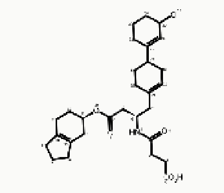 O=C(O)CCC(=O)N[C@@H](CC(=O)O[C@@H]1CCC2=C(CCC2)C1)CC1=CCC(C2=CC(Cl)CCC2)CC1